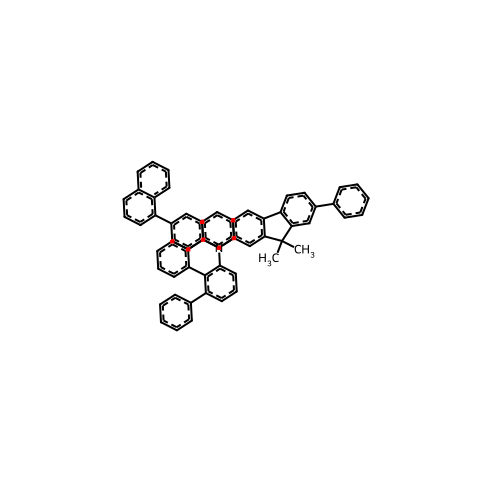 CC1(C)c2cc(-c3ccccc3)ccc2-c2ccc(N(c3ccc(-c4cccc5ccccc45)cc3)c3cccc(-c4ccccc4)c3-c3ccccc3-c3ccccc3)cc21